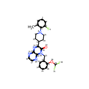 Cc1cccc(F)c1N1CCC(c2nc3nccnc3n(Cc3ccccc3OC(F)F)c2=O)CC1